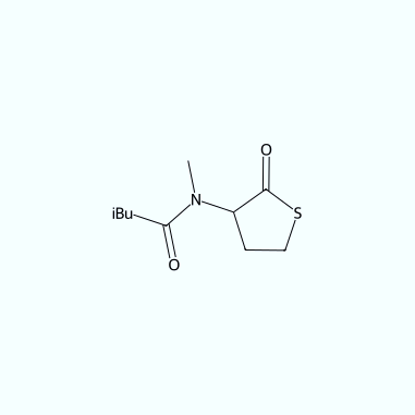 CCC(C)C(=O)N(C)C1CCSC1=O